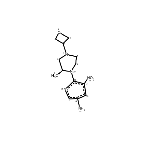 C[C@H]1CN(C2COC2)CCN1c1ncc(N)cc1[N+](=O)[O-]